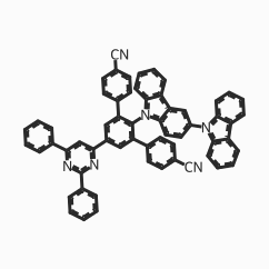 N#Cc1ccc(-c2cc(-c3cc(-c4ccccc4)nc(-c4ccccc4)n3)cc(-c3ccc(C#N)cc3)c2-n2c3ccccc3c3cc(-n4c5ccccc5c5ccccc54)ccc32)cc1